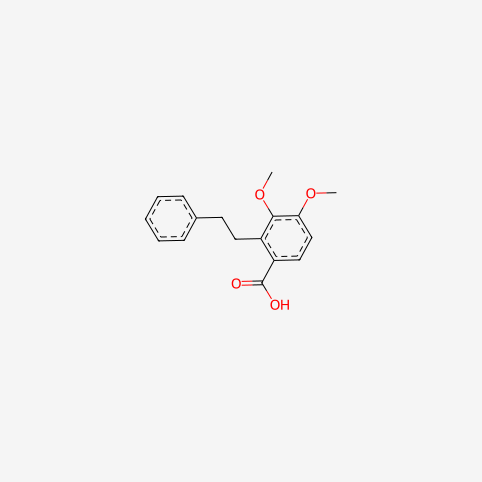 COc1ccc(C(=O)O)c(CCc2ccccc2)c1OC